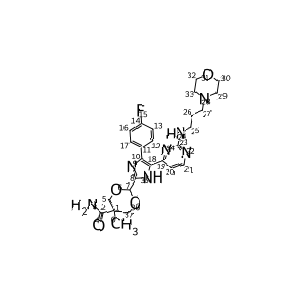 CC1(C(N)=O)COC(c2nc(-c3ccc(F)cc3)c(-c3ccnc(NCCCN4CCOCC4)n3)[nH]2)OC1